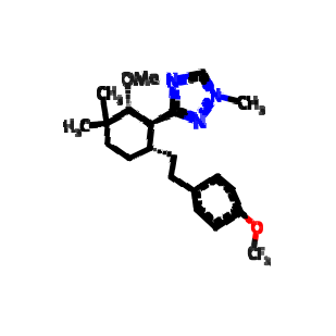 CO[C@@H]1[C@@H](c2ncn(C)n2)[C@H](CCc2ccc(OC(F)(F)F)cc2)CCC1(C)C